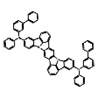 c1ccc(-c2cccc(N(c3ccccc3)c3ccc4c(c3)c3cccc5c6cc7c(cc6n4c35)c3cccc4c5cc(N(c6ccccc6)c6cccc(-c8ccccc8)c6)ccc5n7c43)c2)cc1